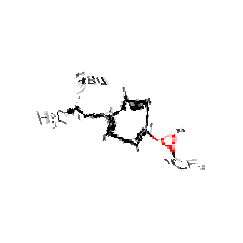 C[C@@H](c1ccc(OC(F)(F)F)cc1)C(C)(C)C